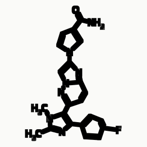 Cc1nc(-c2ccc(F)cc2)c(-c2ccc3nc(-n4ccc(C(N)=O)c4)cn3n2)n1C